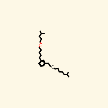 CC(C)CCCCCCCCc1cccc(CCCCCOCCCC(C)C)c1